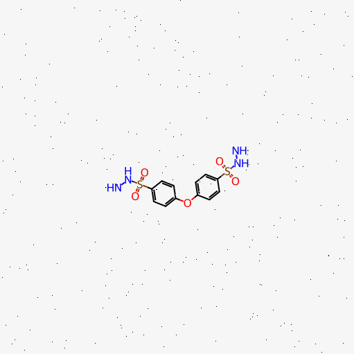 [NH]NS(=O)(=O)c1ccc(Oc2ccc(S(=O)(=O)N[NH])cc2)cc1